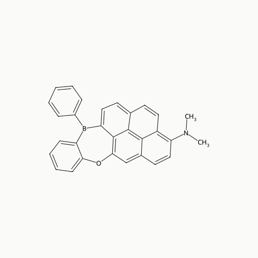 CN(C)c1ccc2cc3c4c(ccc5ccc1c2c54)B(c1ccccc1)c1ccccc1O3